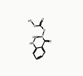 O=C(OS)ON1NNc2ccccc2C1=O